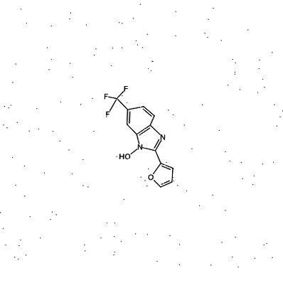 On1c(-c2ccco2)nc2ccc(C(F)(F)F)cc21